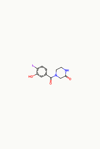 O=C1CN(C(=O)c2ccc(I)c(O)c2)CCN1